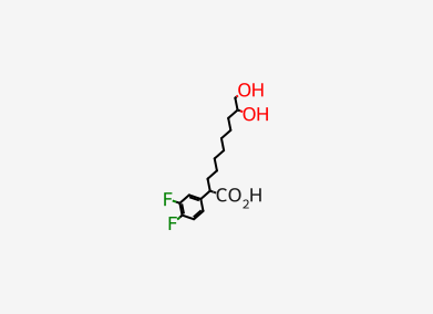 O=C(O)C(CCCCCCCC(O)CO)c1ccc(F)c(F)c1